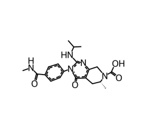 CNC(=O)c1ccc(-n2c(NC(C)C)nc3c(c2=O)C[C@@H](C)N(C(=O)O)C3)cc1